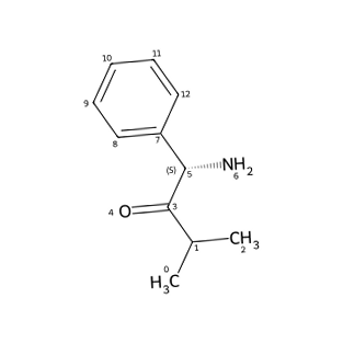 CC(C)C(=O)[C@@H](N)c1ccccc1